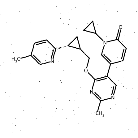 Cc1ccc([C@@H]2CC2COc2nc(C)ncc2-c2ccc(=O)n(C3CC3)c2)nc1